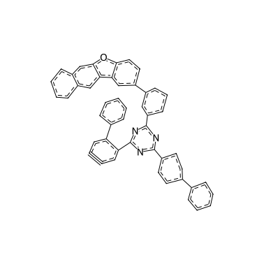 c1cc(-c2ccccc2)c(-c2nc(-c3ccc(-c4ccccc4)cc3)nc(-c3cccc(-c4ccc5oc6cc7ccccc7cc6c5c4)c3)n2)cc#1